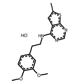 COc1ccc(CCNc2ncnc3sc(C)cc23)cc1OC.Cl